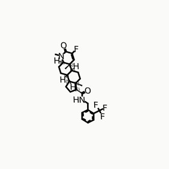 CN1C(=O)C(F)=C[C@]2(C)[C@H]3CC[C@]4(C)[C@@H](C(=O)NCc5ccccc5C(F)(F)F)CC[C@H]4[C@@H]3CC[C@@H]12